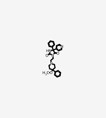 COC1(c2ccccc2)CCN(CCN2C(=O)NC(c3ccccc3)(c3ccncc3)C2=O)CC1